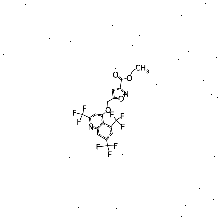 CCOC(=O)c1cc(COc2cc(C(F)(F)F)nc3cc(C(F)(F)F)cc(C(F)(F)F)c23)on1